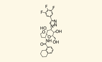 O=C(N[C@@H]1CCO[C@]12O[C@H](CO)[C@H](O)[C@H](n1cc(-c3cc(F)c(F)c(F)c3)nn1)[C@H]2O)c1cccc2c1CCCC2